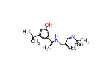 C=C(C)c1cc(O)cc(C(=C)NCC(/C=N\C(=C)C(C)(C)C)=C/CC)c1